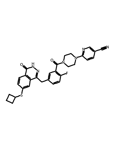 N#Cc1ccc(N2CCN(C(=O)c3cc(Cc4n[nH]c(=O)c5ccc(SC6CCC6)cc45)ccc3F)CC2)nc1